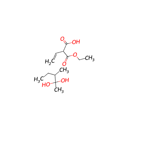 C=CC(C(=O)O)C(=O)OCC.CCC(C)C(C)(O)O